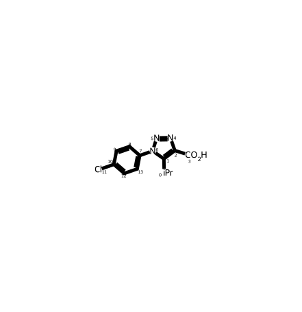 CC(C)c1c(C(=O)O)nnn1-c1ccc(Cl)cc1